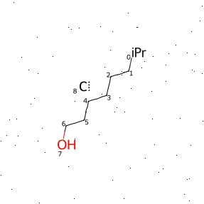 CC(C)CCCCCCO.[C]